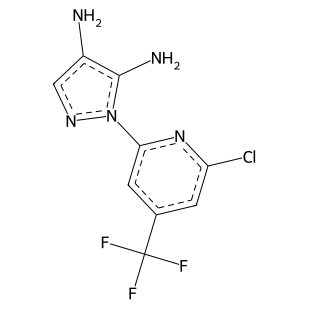 Nc1cnn(-c2cc(C(F)(F)F)cc(Cl)n2)c1N